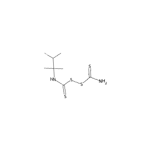 CC(C)C(C)(C)NC(=S)SSC(N)=S